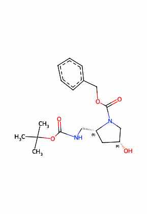 CC(C)(C)OC(=O)NC[C@H]1C[C@@H](O)CN1C(=O)OCc1ccccc1